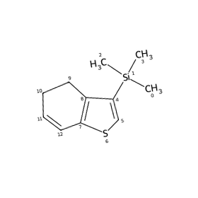 C[Si](C)(C)c1csc2c1CCC=C2